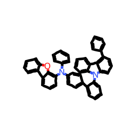 c1ccc(-c2cccc3c2c2ccccc2n3-c2ccccc2-c2ccc(N(c3ccccc3)c3cccc4c3oc3ccccc34)cc2)cc1